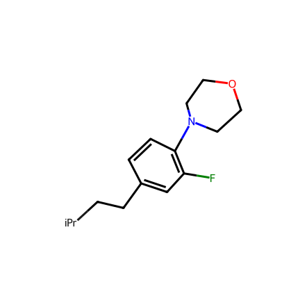 CC(C)CCc1ccc(N2CCOCC2)c(F)c1